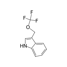 FC(F)(F)OCc1c[nH]c2ccccc12